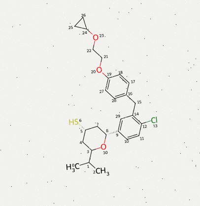 CC(C)C1C[C@H](S)C[C@H](c2ccc(Cl)c(Cc3ccc(OCCOC4CC4)cc3)c2)O1